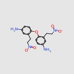 Nc1ccc(Oc2ccc(N)cc2CC[N+](=O)[O-])c(CC[N+](=O)[O-])c1